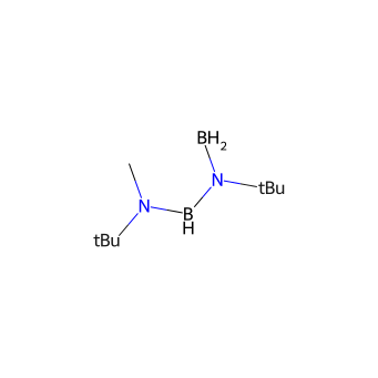 BN(BN(C)C(C)(C)C)C(C)(C)C